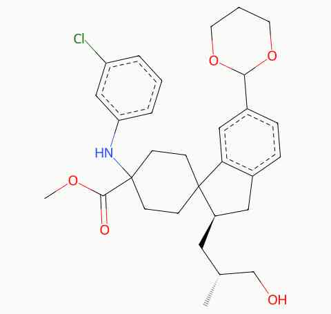 COC(=O)C1(Nc2cccc(Cl)c2)CCC2(CC1)c1cc(C3OCCCO3)ccc1C[C@H]2C[C@@H](C)CO